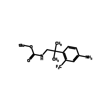 CC(C)(C)OC(=O)NCC(C)(C)c1ccc(N)cc1C(F)(F)F